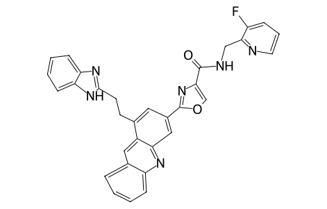 O=C(NCc1ncccc1F)c1coc(-c2cc(CCc3nc4ccccc4[nH]3)c3cc4ccccc4nc3c2)n1